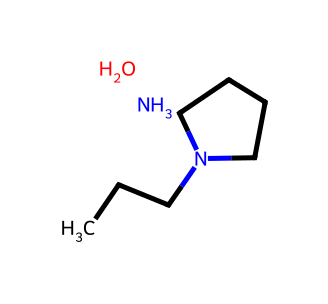 CCCN1CCCC1.N.O